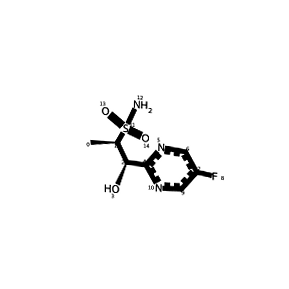 C[C@H]([C@H](O)c1ncc(F)cn1)S(N)(=O)=O